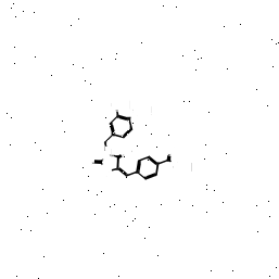 O=C(O)c1ccc(C=C2SC(=S)N(Cc3ccc(O)c(O)c3)C2=O)cc1